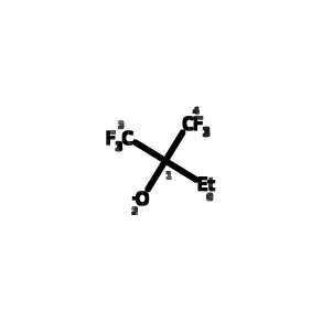 CCC([O])(C(F)(F)F)C(F)(F)F